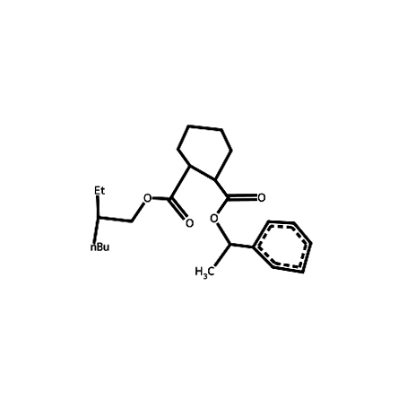 CCCCC(CC)COC(=O)C1CCCCC1C(=O)OC(C)c1ccccc1